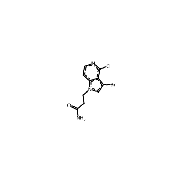 NC(=O)CCn1cc(Br)c2c(Cl)nccc21